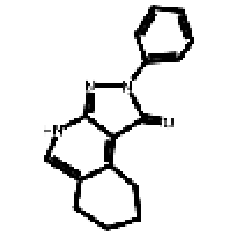 O=c1c2c3c(c[nH]c-2nn1-c1ccccc1)CCCC3